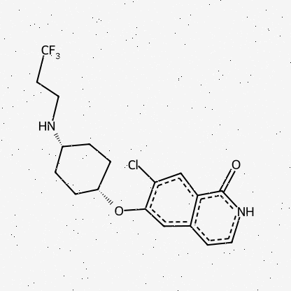 O=c1[nH]ccc2cc(O[C@H]3CC[C@@H](NCCC(F)(F)F)CC3)c(Cl)cc12